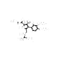 CCCOC(=O)c1[nH]c(CNC(=N)N)c(-c2ccc(OC)c(OC)c2OC)c1Cl